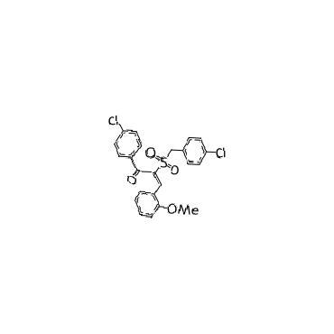 COc1ccccc1/C=C(\C(=O)c1ccc(Cl)cc1)S(=O)(=O)Cc1ccc(Cl)cc1